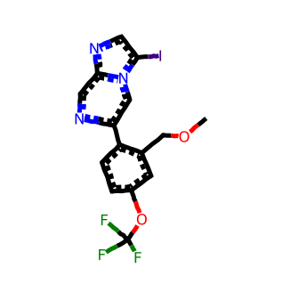 COCc1cc(OC(F)(F)F)ccc1-c1cn2c(I)cnc2cn1